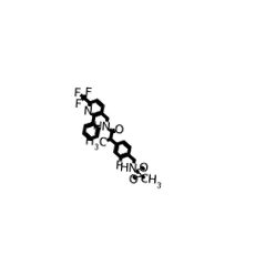 CC(C(=O)NCc1ccc(C(F)(F)F)nc1-c1ccccc1)c1ccc(CNS(C)(=O)=O)c(F)c1